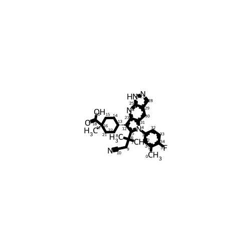 Cc1cc(-n2c(C(C)(C)CC#N)c([C@H]3CC[C@](C)(C(=O)O)CC3)c3nc4[nH]ncc4cc32)ccc1F